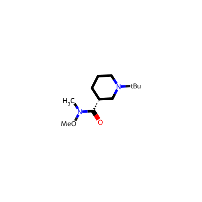 CON(C)C(=O)[C@@H]1CCCN(C(C)(C)C)C1